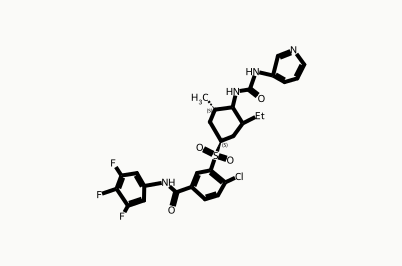 CCC1C[C@@H](S(=O)(=O)c2cc(C(=O)Nc3cc(F)c(F)c(F)c3)ccc2Cl)C[C@H](C)C1NC(=O)Nc1cccnc1